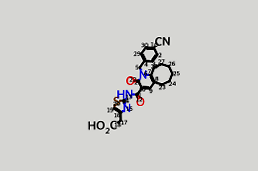 N#Cc1ccc(Cn2c3c(cc(C(=O)Nc4nc(CC(=O)O)cs4)c2=O)CCCCCC3)cc1